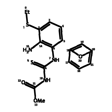 CCSc1cccc(NC(=S)NC(=O)OC)c1N.c1cc2cc(c1)O2